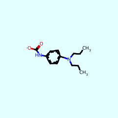 CCCN(CCC)c1ccc(NC([O])=O)cc1